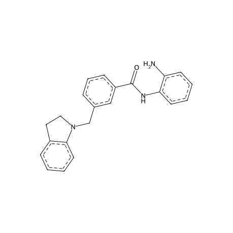 Nc1ccccc1NC(=O)c1cccc(CN2CCc3ccccc32)c1